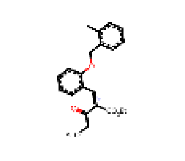 CCOC(=O)/C(=C/c1ccccc1OCc1ccccc1C)C(=O)COC(C)=O